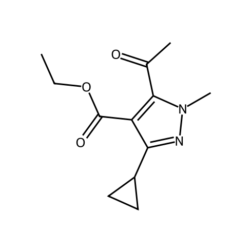 CCOC(=O)c1c(C2CC2)nn(C)c1C(C)=O